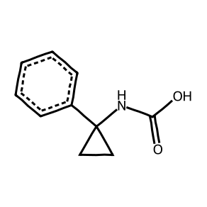 O=C(O)NC1(c2ccccc2)CC1